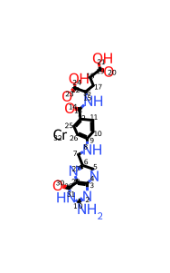 Nc1nc2ncc(CNc3ccc(C(=O)NC(CCC(=O)O)C(=O)O)cc3)nc2c(=O)[nH]1.[Cr]